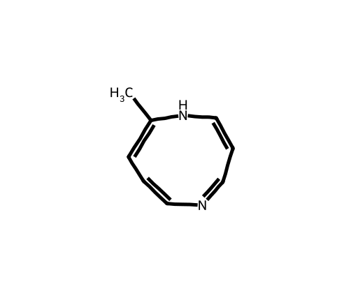 Cc1cccnccc[nH]1